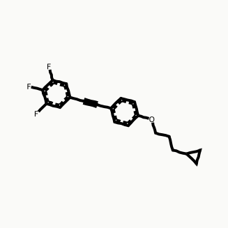 Fc1cc(C#Cc2ccc(OCCCC3CC3)cc2)cc(F)c1F